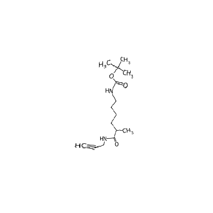 C#CCNC(=O)C(C)CCCCNC(=O)OC(C)(C)C